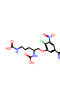 NC(=O)c1cc(OCC(CCCNC(=O)O)NC(=O)O)c(Cl)c([N+](=O)[O-])c1